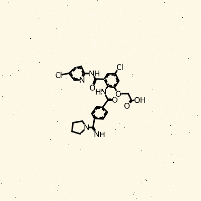 N=C(c1ccc(C(=O)Nc2c(OCC(=O)O)cc(Cl)cc2C(=O)Nc2ccc(Cl)cn2)cc1)N1CCCC1